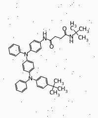 CC(C)(C)NC(=O)CCC(=O)Nc1ccc(N(c2ccccc2)c2ccc(N(c3ccccc3)c3ccc(C(C)(C)C)cc3)cc2)cc1